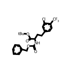 CC(C)(C)OC(=O)C(CCc1ccc(C(F)(F)F)c(Cl)c1)NC(=O)OCc1ccccc1